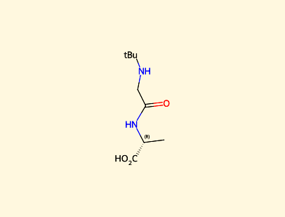 C[C@@H](NC(=O)CNC(C)(C)C)C(=O)O